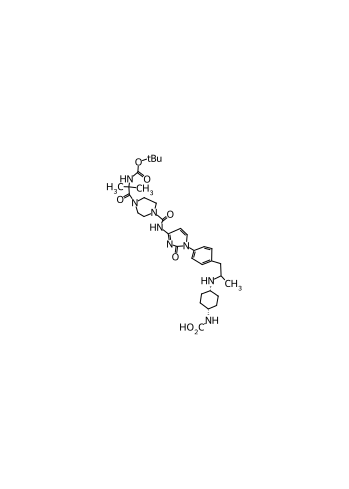 CC(Cc1ccc(-n2ccc(NC(=O)N3CCN(C(=O)C(C)(C)NC(=O)OC(C)(C)C)CC3)nc2=O)cc1)N[C@H]1CC[C@@H](NC(=O)O)CC1